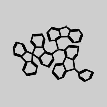 c1ccc(-n2c3ccccc3c3c(N(c4cccc5c4-c4ccccc4C54c5ccccc5-c5ccccc54)c4cccc5sc6ccccc6c45)cccc32)cc1